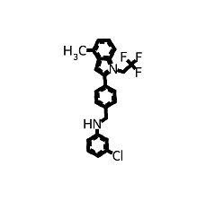 Cc1cccc2c1cc(-c1ccc(CNc3cccc(Cl)c3)cc1)n2CC(F)(F)F